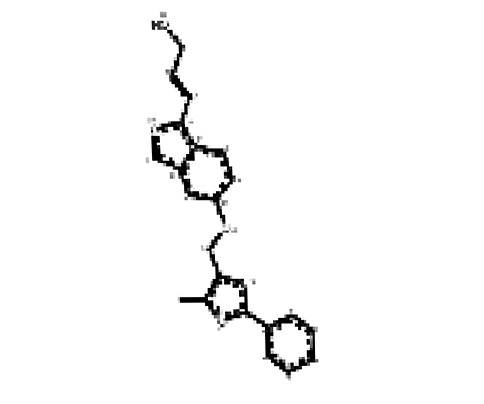 Cc1oc(-c2ccccc2)nc1COc1ccc2c(C=CCO)occ2c1